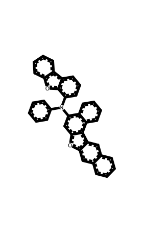 c1ccc(N(c2cc3oc4cc5ccccc5cc4c3c3ccccc23)c2cccc3c2oc2ccccc23)cc1